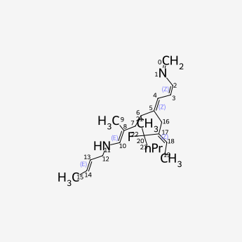 C=N/C=C\C=C(\CC/C(C)=C/NC/C=C/C)C/C(=C/C)C(C)(F)CCC